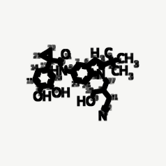 CC(C)(C)c1cc2cc(NC(=O)C3(c4ccc(O)c(O)c4)CC3)ccc2n1CC(CO)CC#N